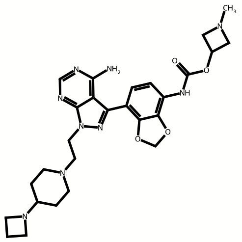 CN1CC(OC(=O)Nc2ccc(-c3nn(CCN4CCC(N5CCC5)CC4)c4ncnc(N)c34)c3c2OCO3)C1